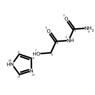 NC(=O)NC(=O)CO.c1c[nH]cn1